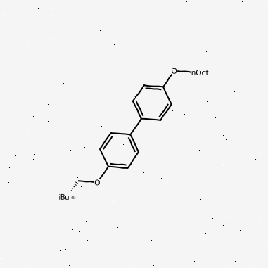 CCCCCCCCOc1ccc(-c2ccc(OC[C@@H](C)CC)cc2)cc1